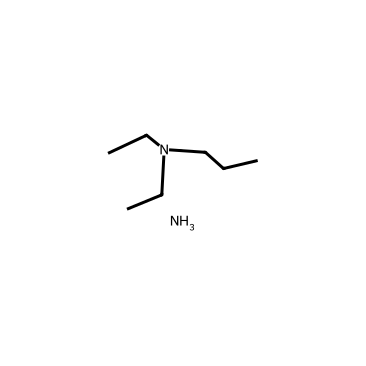 CCCN(CC)CC.N